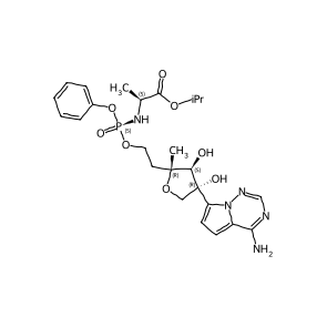 CC(C)OC(=O)[C@H](C)N[P@](=O)(OCC[C@@]1(C)OC[C@](O)(c2ccc3c(N)ncnn23)[C@@H]1O)Oc1ccccc1